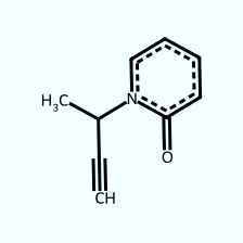 C#CC(C)n1ccccc1=O